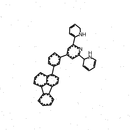 C1=CCNC(c2cc(-c3cccc(-c4ccc5c6c(cccc46)-c4ccccc4-5)c3)cc(C3C=CC=CN3)n2)=C1